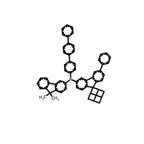 CC1(C)c2ccccc2-c2cc(N(c3ccc(-c4ccc(-c5ccccc5)cc4)cc3)c3ccc4c(c3)-c3cc(-c5ccccc5)ccc3C43C4CC5CC6CC3C564)ccc21